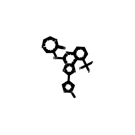 Cn1cc(-c2nc3c4c(C(F)(F)F)cccc4nc(Nc4cnccnc4=O)n3n2)cn1